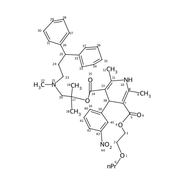 CCCOCCOC(=O)C1=C(C)NC(C)=C(C(=O)OC(C)(C)CN(C)CCC(c2ccccc2)c2ccccc2)C1c1cccc([N+](=O)[O-])c1